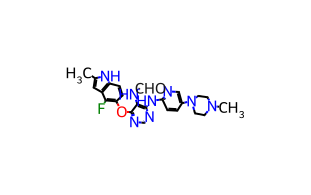 Cc1cc2c(F)c(Oc3ncnc(Nc4ccc(N5CCN(C)CC5)cn4)c3NC=O)ccc2[nH]1